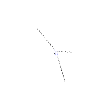 CCCCCCCCCCCCCCCCCN1C=CN(CCCCCCCCCCCCCCCCC)C1CCCCCCCCC